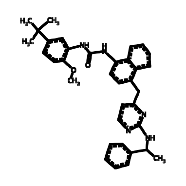 COc1ccc(C(C)(C)C)cc1NC(=O)Nc1ccc(Cc2ccnc(NC(C)c3ccccc3)n2)c2ccccc12